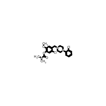 COc1cc(CN2CCN(c3ccccc3Cl)CC2)c(Cl)cc1OC(=O)N(C)C